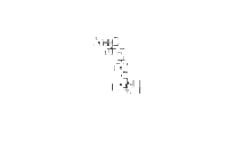 COC(=O)C(C(=O)N(C)C)c1ccc(OC(=O)c2ccc(NC(=N)N)cc2)cc1